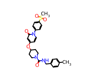 Cc1ccc(CNC(=O)N2CCC(Oc3ccn(-c4ccc(S(C)(=O)=O)cc4)c(=O)c3)CC2)cc1